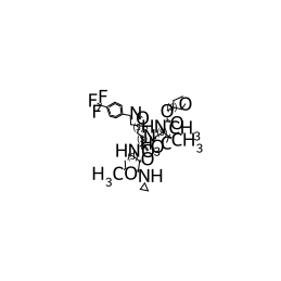 CCC[C@H](NC(=O)[C@@H]1C[C@]2(CC(c3ccc(C(F)(F)F)cc3)=NO2)CN1C(=O)[C@@H](NC(=O)O[C@H]1CCOC1)C(C)(C)C)C(=O)C(=O)NC1CC1